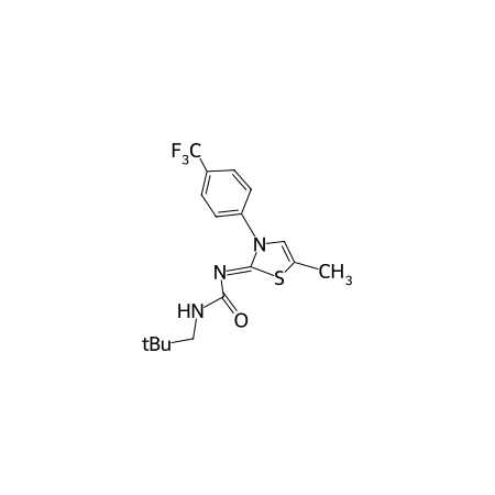 Cc1cn(-c2ccc(C(F)(F)F)cc2)c(=NC(=O)NCC(C)(C)C)s1